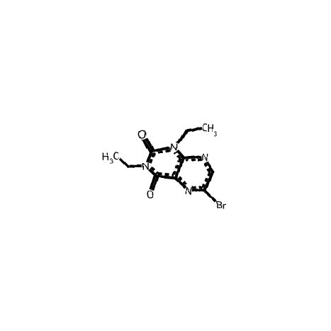 CCn1c(=O)c2nc(Br)cnc2n(CC)c1=O